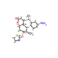 CCC(c1cccc(N)c1)c1cc(=O)oc2cc(Oc3nccs3)c(C)cc12